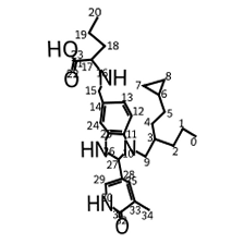 CCCC(CCC1CC1)CN1c2ccc(CNC(CCC)C(=O)O)cc2NC1c1c[nH]c(=O)c(C)c1